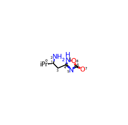 CC(C)[C@@H](N)Cc1nc(=O)o[nH]1